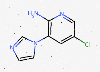 Nc1ncc(Cl)cc1-n1ccnc1